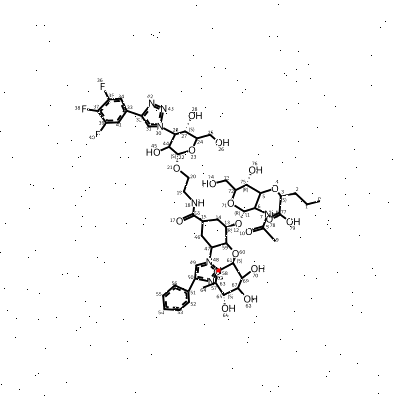 CCC[C@H](OC1C(NC(C)=O)[C@H](O[C@@H]2CC(C(=O)NCCO[C@H]3OC(CO)[C@@H](O)C(n4cc(-c5cc(F)c(F)c(F)c5)nn4)C3O)CC(n3cc(-c4ccccc4)nn3)C2O[C@@H]2OC(C)[C@@H](O)C(O)C2O)OC(CO)[C@@H]1O)C(=O)O